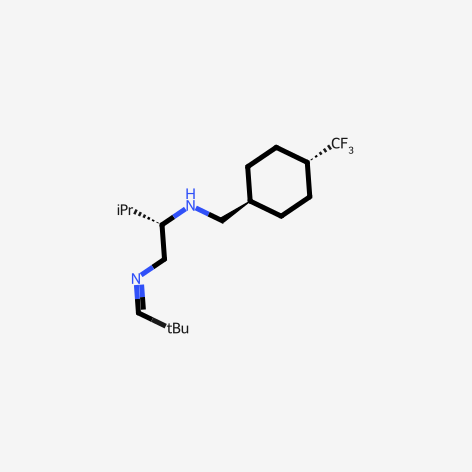 CC(C)[C@@H](C/N=C\C(C)(C)C)NC[C@H]1CC[C@H](C(F)(F)F)CC1